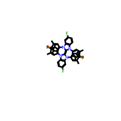 Cc1cc(N2/C(=C3/N(c4cc(C)c(F)c(C)c4)c4ccc(F)cc4N3c3cc(C)c(F)c(C)c3)N(c3cc(C)c(F)c(C)c3)c3cc(F)ccc32)cc(C)c1F